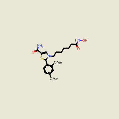 COc1ccc(C2SC(C(N)=O)=CN2CCCCCCC(=O)NO)c(OC)c1